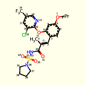 C/C(=C\c1ccc(OC(C)C)cc1Oc1ncc(C(F)(F)F)cc1Cl)C(=O)NS(=O)(=O)N1CCCC1